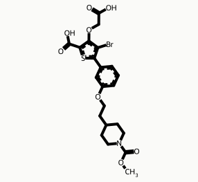 COC(=O)N1CCC(CCOc2cccc(-c3sc(C(=O)O)c(OCC(=O)O)c3Br)c2)CC1